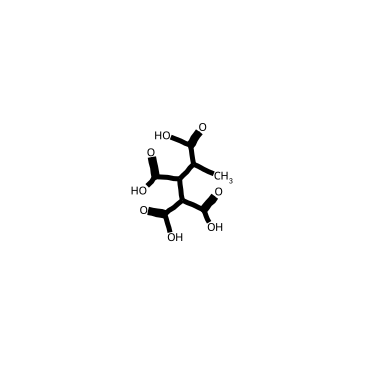 CC(C(=O)O)C(C(=O)O)C(C(=O)O)C(=O)O